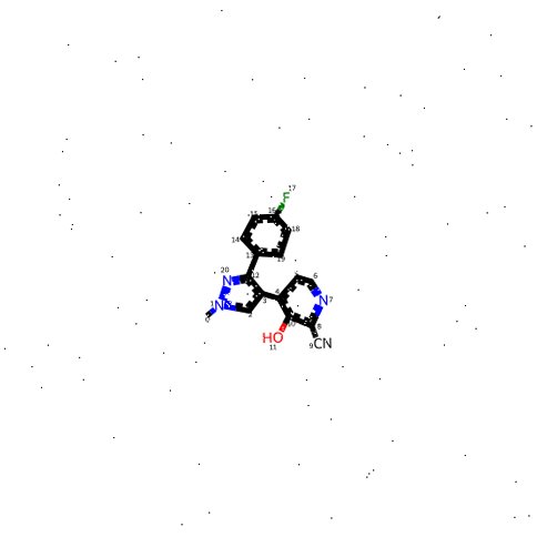 Cn1cc(-c2ccnc(C#N)c2O)c(-c2ccc(F)cc2)n1